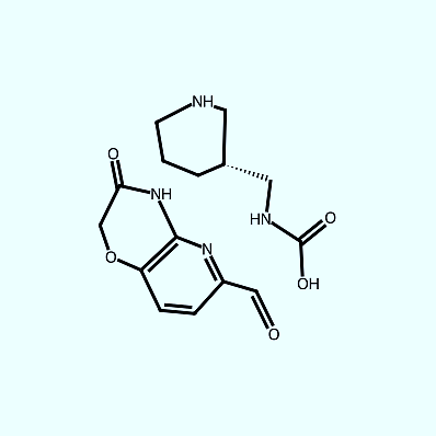 O=C(O)NC[C@@H]1CCCNC1.O=Cc1ccc2c(n1)NC(=O)CO2